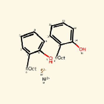 CCCCCCCCc1ccccc1O.CCCCCCCCc1ccccc1O.[Ni+2].[S-2]